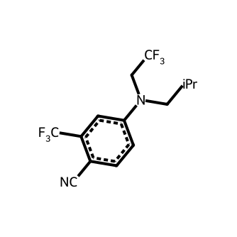 CC(C)CN(CC(F)(F)F)c1ccc(C#N)c(C(F)(F)F)c1